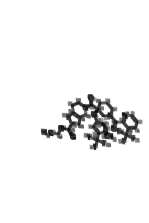 CCC[C@H]1N(C(=O)c2ncccc2C(F)(F)F)CCC[C@@]1(Oc1csc(C(F)(F)F)c1)C(=O)N1CCc2sc(C(=O)OCC)cc2C1